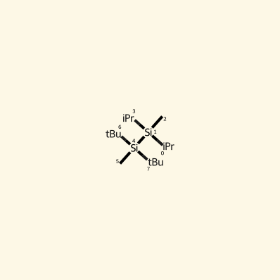 CC(C)[Si](C)(C(C)C)[Si](C)(C(C)(C)C)C(C)(C)C